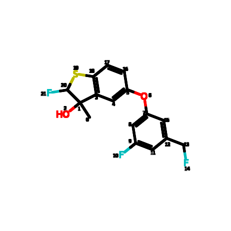 CC1(O)c2cc(Oc3cc(F)cc(CF)c3)ccc2SC1F